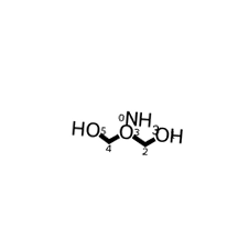 N.OCOCO